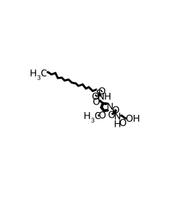 CCCCCCCCCCCCCCCCS(=O)(=O)NC(=O)c1cnc(OC(=O)NCC(=O)O)c(OC)c1